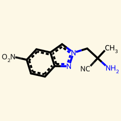 CC(N)(C#N)Cn1cc2cc([N+](=O)[O-])ccc2n1